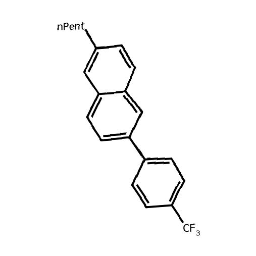 CCCCCc1ccc2cc(-c3ccc(C(F)(F)F)cc3)ccc2c1